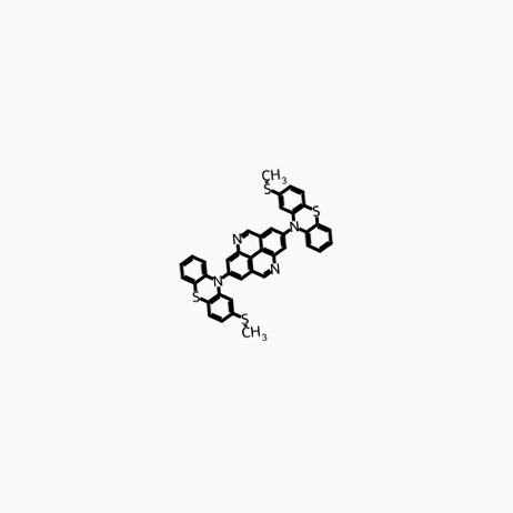 CSc1ccc2c(c1)N(c1cc3cnc4cc(N5c6ccccc6Sc6ccc(SC)cc65)cc5cnc(c1)c3c54)c1ccccc1S2